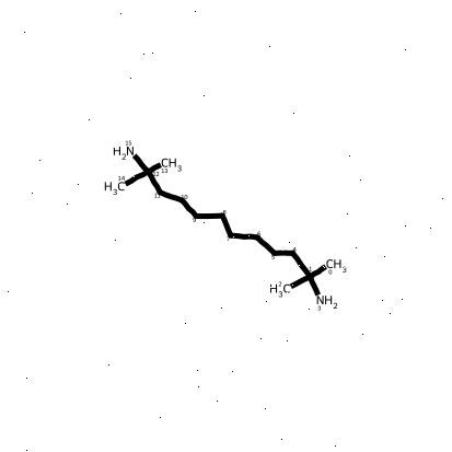 CC(C)(N)CCCCCCCCC(C)(C)N